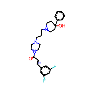 O=C(/C=C/c1cc(F)cc(F)c1)N1CCN(CCCN2CCC(O)(c3ccccc3)CC2)CC1